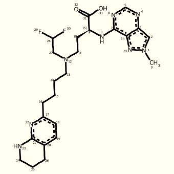 Cn1cc2ncnc(N[C@@H](CCN(CCCCc3ccc4c(n3)NCCC4)CC(F)F)C(=O)O)c2n1